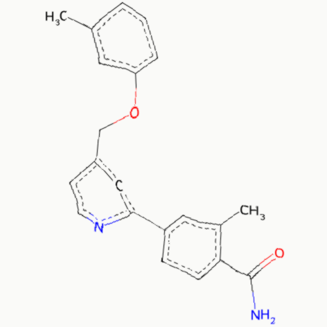 Cc1cccc(OCc2ccnc(-c3ccc(C(N)=O)c(C)c3)c2)c1